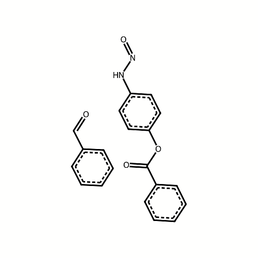 O=Cc1ccccc1.O=NNc1ccc(OC(=O)c2ccccc2)cc1